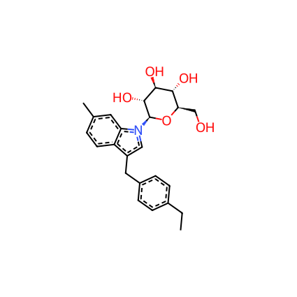 CCc1ccc(Cc2cn([C@@H]3O[C@H](CO)[C@@H](O)[C@H](O)[C@H]3O)c3cc(C)ccc23)cc1